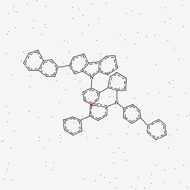 c1ccc(-c2ccc(N(c3ccc(-c4ccccc4)cc3)c3ccccc3-c3ccccc3-n3c4ccccc4c4ccc(-c5ccc6ccccc6c5)cc43)cc2)cc1